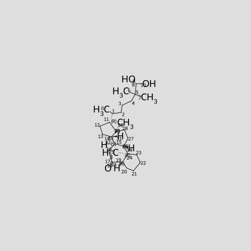 CC(CCCC(C)(C)C(O)O)[C@H]1CC[C@H]2[C@@H]3CC(=O)[C@H]4CCCC[C@]4(C)[C@H]3CC[C@]12C